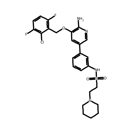 Nc1ncc(-c2cccc(NS(=O)(=O)CCN3CCCCC3)c2)cc1OCc1c(F)ccc(F)c1Cl